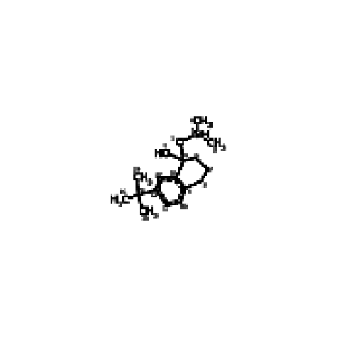 C[SiH](C)OC1(O)CCCc2ccc(C(C)(C)C)cc21